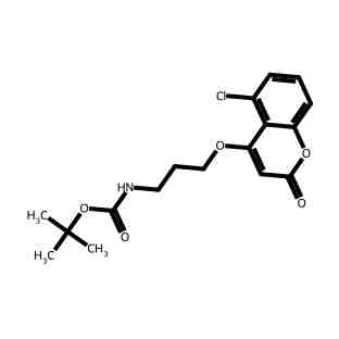 CC(C)(C)OC(=O)NCCCOc1cc(=O)oc2cccc(Cl)c12